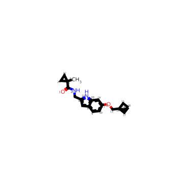 CC1(C(=O)NCc2cc3ccc(OCC45CC(C4)C5)cc3[nH]2)CC1